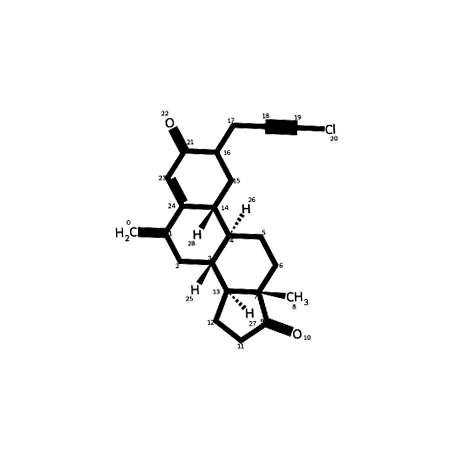 C=C1C[C@@H]2[C@H](CC[C@]3(C)C(=O)CC[C@@H]23)[C@H]2CC(CC#CCl)C(=O)C=C12